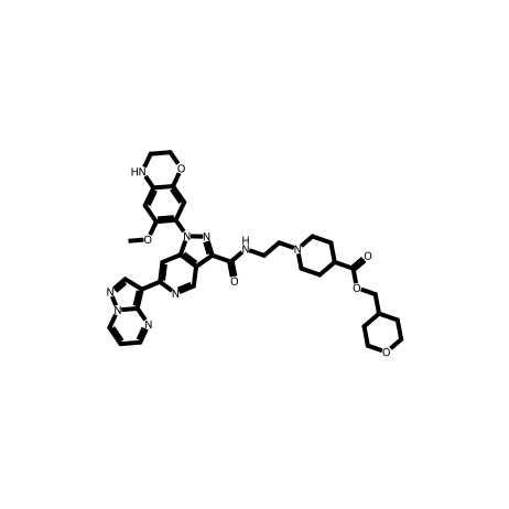 COc1cc2c(cc1-n1nc(C(=O)NCCN3CCC(C(=O)OCC4CCOCC4)CC3)c3cnc(-c4cnn5cccnc45)cc31)OCCN2